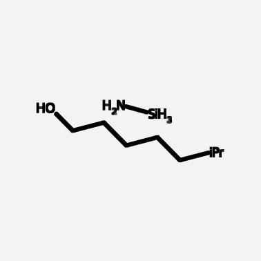 CC(C)CCCCCO.N[SiH3]